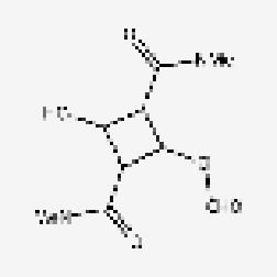 CNC(=O)C1C(O)C(C(=O)NC)C1OC=O